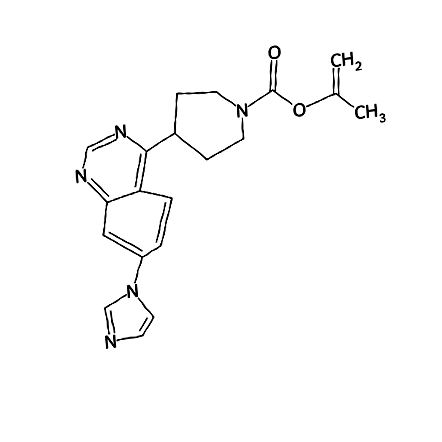 C=C(C)OC(=O)N1CCC(c2ncnc3cc(-n4ccnc4)ccc23)CC1